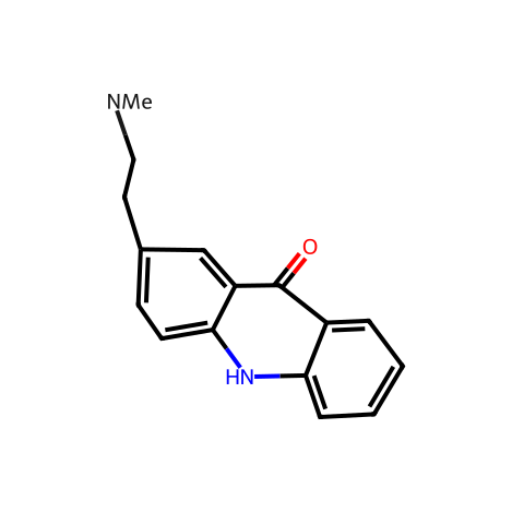 CNCCc1ccc2[nH]c3ccccc3c(=O)c2c1